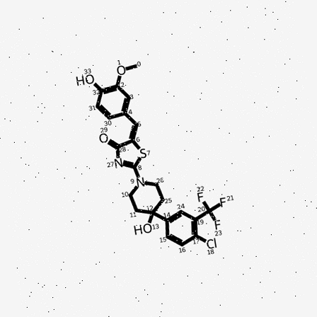 COc1cc(C=C2SC(N3CCC(O)(c4ccc(Cl)c(C(F)(F)F)c4)CC3)=NC2=O)ccc1O